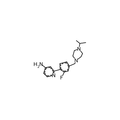 CC(C)N1CCN(Cc2ccc(-c3cc(N)ccn3)c(F)c2)CC1